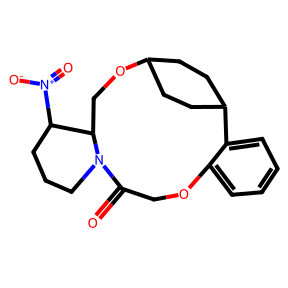 O=C1COc2ccccc2C2CCC(CC2)OCC2C([N+](=O)[O-])CCCN12